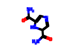 NC(=O)C1=CN=CC(C(N)=O)N1